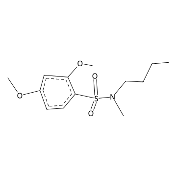 CCCCN(C)S(=O)(=O)c1ccc(OC)cc1OC